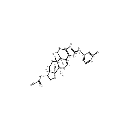 CCCC(=O)O[C@H]1CC[C@H]2[C@@H]3CC=C4c5sc(Nc6cccc(F)c6)nc5CC[C@]4(C)[C@H]3CC[C@]12C